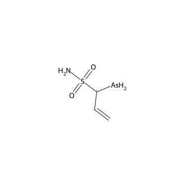 C=C[C]([AsH2])S(N)(=O)=O